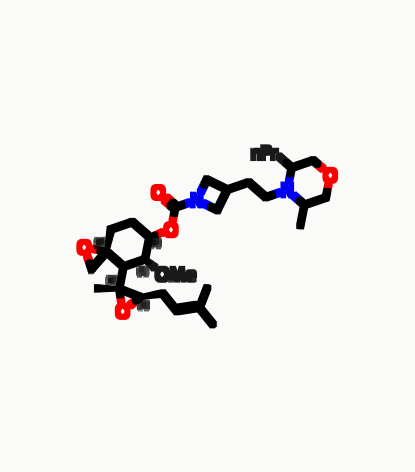 CCCC1COCC(C)N1CCC1CN(C(=O)O[C@@H]2CC[C@]3(CO3)C([C@@]3(C)O[C@@H]3CC=C(C)C)[C@@H]2OC)C1